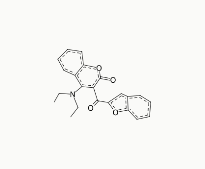 CCN(CC)c1c(C(=O)c2cc3ccccc3o2)c(=O)oc2ccccc12